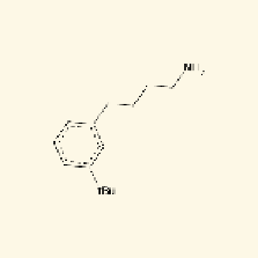 CC(C)(C)c1cccc(CCCCN)c1